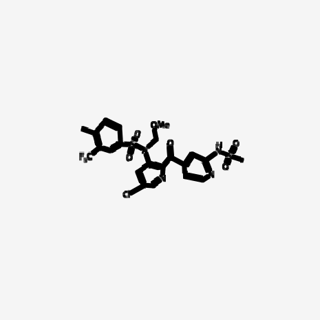 COCN(c1cc(Cl)cnc1C(=O)c1ccnc(NS(C)(=O)=O)c1)S(=O)(=O)c1ccc(C)c(C(F)(F)F)c1